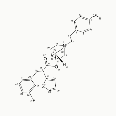 COc1ccc(CC[N+]23CCC(CC2)[C@@H](OC(=O)N(Cc2cccc(F)c2)c2cccs2)C3)cc1